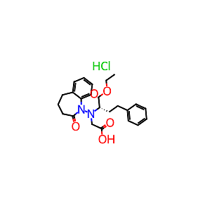 CCOC(=O)[C@H](CCc1ccccc1)N(CC(=O)O)N1C(=O)CCCc2ccccc21.Cl